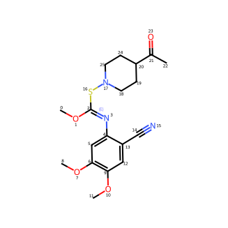 CO/C(=N\c1cc(OC)c(OC)cc1C#N)SN1CCC(C(C)=O)CC1